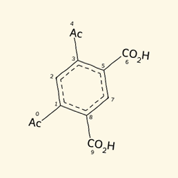 CC(=O)c1cc(C(C)=O)c(C(=O)O)cc1C(=O)O